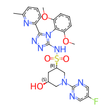 COc1cccc(OC)c1-n1c(NS(=O)(=O)[C@@H]2C[C@H](O)CN(c3ncc(F)cn3)C2)nnc1-c1cccc(C)n1